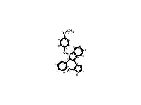 COc1ccc(Sn2c(-c3ccccc3)c(-c3ccsc3C)c3ccccc32)cc1